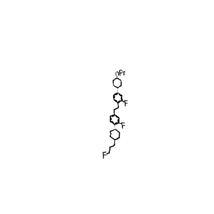 CCC[C@H]1CC[C@H](c2ccc(CCc3ccc([C@H]4CC[C@H](CCCF)CC4)c(F)c3)c(F)c2)CC1